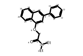 CCN(CC)C(=O)COc1cc(-c2ccccc2)cc2ccccc12